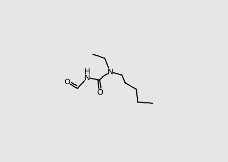 CCCCCN(CC)C(=O)NC=O